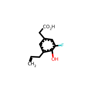 C=CCc1cc(CC(=O)O)cc(F)c1O